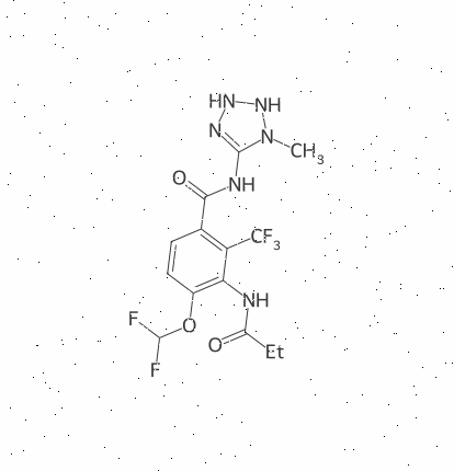 CCC(=O)Nc1c(OC(F)F)ccc(C(=O)NC2=NNNN2C)c1C(F)(F)F